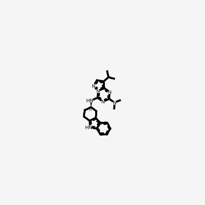 CC(C)c1cnn2c(N[C@@H]3CCc4[nH]c5ccccc5c4C3)nc(N(C)C)nc12